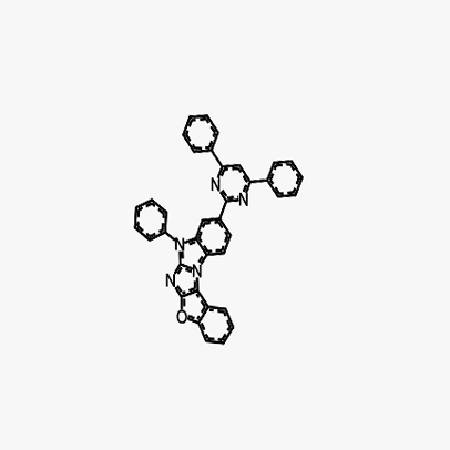 c1ccc(-c2cc(-c3ccccc3)nc(-c3ccc4c(c3)n(-c3ccccc3)c3nc5oc6ccccc6c5n43)n2)cc1